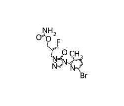 Cc1ccc(Br)nc1-n1cnn(CC(=CF)COC(N)=O)c1=O